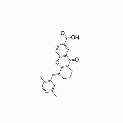 Cc1ccc(C)c(C=C2CCCc3c2oc2ccc(C(=O)O)cc2c3=O)c1